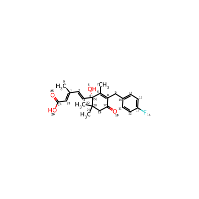 CC(C=C[C@@]1(O)C(C)=C(Cc2ccc(F)cc2)C(=O)CC1(C)C)=CC(=O)O